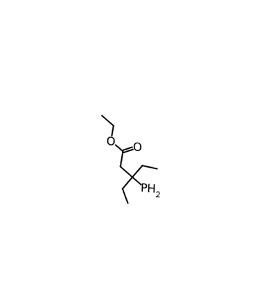 CCOC(=O)CC(P)(CC)CC